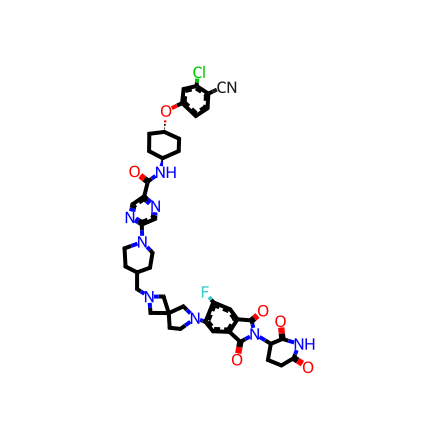 N#Cc1ccc(O[C@H]2CC[C@H](NC(=O)c3cnc(N4CCC(CN5CC6(CCN(c7cc8c(cc7F)C(=O)N(C7CCC(=O)NC7=O)C8=O)C6)C5)CC4)cn3)CC2)cc1Cl